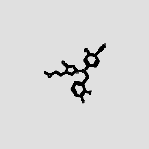 COCCN1C[C@@H](N(Cc2cccc(F)c2F)c2ccc(C#N)c(Cl)c2)CC1=O